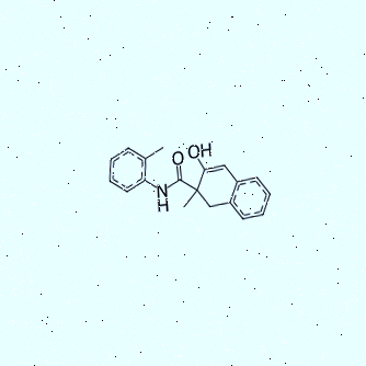 Cc1ccccc1NC(=O)C1(C)Cc2ccccc2C=C1O